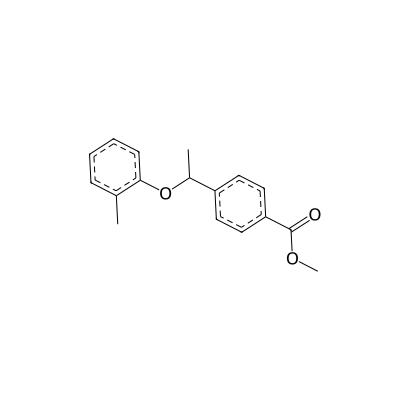 COC(=O)c1ccc(C(C)Oc2ccccc2C)cc1